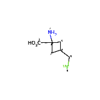 NC1(C(=O)O)CC(C[18F])C1